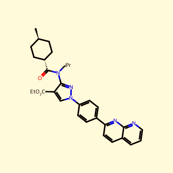 CCOC(=O)c1cn(-c2ccc(-c3ccc4cccnc4n3)cc2)nc1N(C(=O)[C@H]1CC[C@H](C)CC1)C(C)C